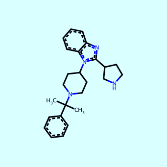 CC(C)(c1ccccc1)N1CCC(n2c(C3CCNC3)nc3ccccc32)CC1